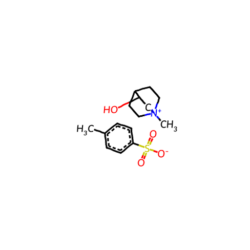 C[N+]12CCC(CC1)C(O)C2.Cc1ccc(S(=O)(=O)[O-])cc1